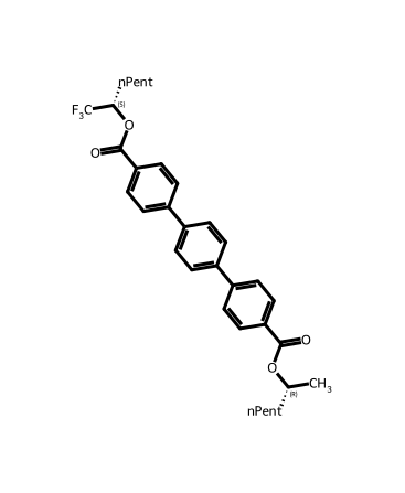 CCCCC[C@@H](C)OC(=O)c1ccc(-c2ccc(-c3ccc(C(=O)O[C@@H](CCCCC)C(F)(F)F)cc3)cc2)cc1